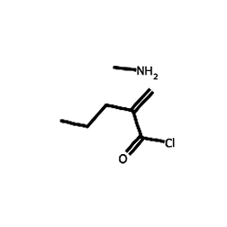 C=C(CCC)C(=O)Cl.CN